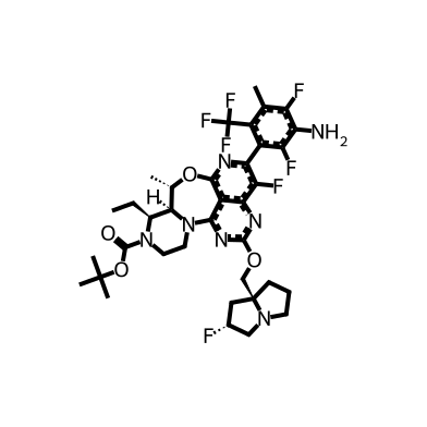 CC[C@H]1[C@H]2[C@H](C)Oc3nc(-c4c(F)c(N)c(F)c(C)c4C(F)(F)F)c(F)c4nc(OC[C@@]56CCCN5C[C@H](F)C6)nc(c34)N2CCN1C(=O)OC(C)(C)C